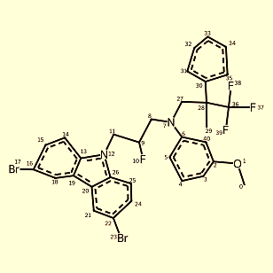 COc1cccc(N(CC(F)Cn2c3ccc(Br)cc3c3cc(Br)ccc32)CC(C)(c2ccccc2)C(F)(F)F)c1